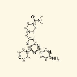 CN(C)C(=O)N1CCN(CC2Cc3nc(-c4ccc(N)nc4)nc(N4CCOCC4)c3S2)CC1